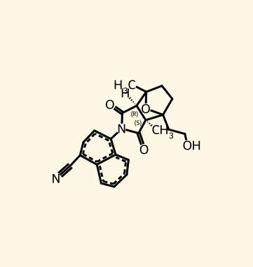 CC12CCC(CCO)(O1)[C@@]1(C)C(=O)N(c3ccc(C#N)c4ccccc34)C(=O)[C@@H]21